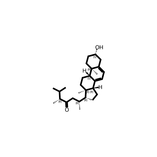 CC(C)[C@@H](C)C(=O)C[C@@H](C)[C@H]1CC[C@H]2C3=CC=C4C[C@@H](O)CC[C@]4(C)[C@H]3CC[C@]12C